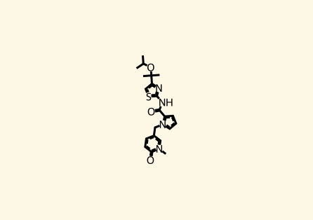 CC(C)OC(C)(C)c1csc(NC(=O)c2cccn2Cc2ccc(=O)n(C)c2)n1